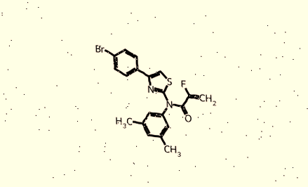 C=C(F)C(=O)N(c1cc(C)cc(C)c1)c1nc(-c2ccc(Br)cc2)cs1